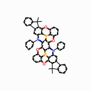 CC1(C)c2ccccc2-c2cc3c4c(oc5cccc6oc7c8c9c(oc%10cccc%11oc%12c%13c(cc(c%12p9c%11%10)n8-c8ccccc8)-c8ccccc8C%13(C)C)c(c7p4c56)n3-c3ccccc3)c21